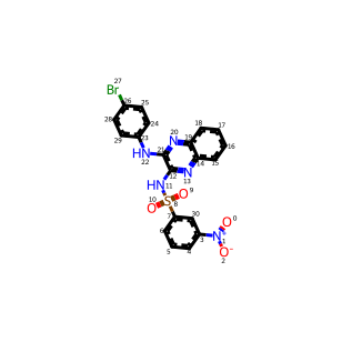 O=[N+]([O-])c1cccc(S(=O)(=O)Nc2nc3ccccc3nc2Nc2ccc(Br)cc2)c1